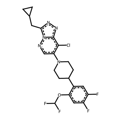 Fc1cc(OC(F)F)c(C2CCN(c3cnn4c(CC5CC5)nnc4c3Cl)CC2)cc1F